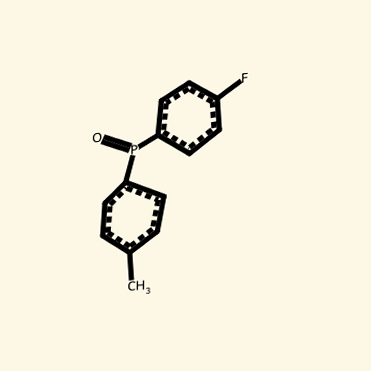 Cc1ccc([P](=O)c2ccc(F)cc2)cc1